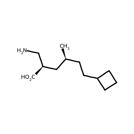 C[C@@H](CCC1CCC1)C[C@H](CN)C(=O)O